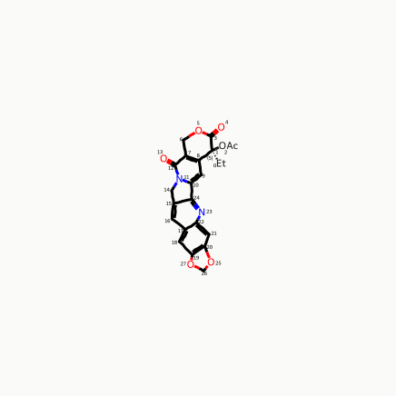 CC[C@@]1(OC(C)=O)C(=O)OCc2c1cc1n(c2=O)Cc2cc3cc4c(cc3nc2-1)OCO4